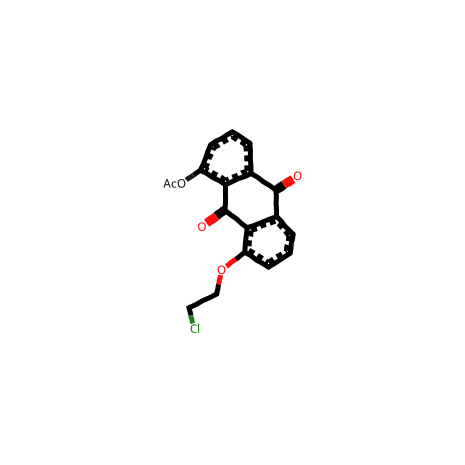 CC(=O)Oc1cccc2c1C(=O)c1c(OCCCl)cccc1C2=O